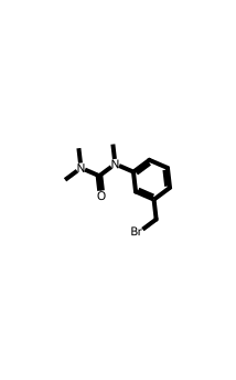 CN(C)C(=O)N(C)c1cccc(CBr)c1